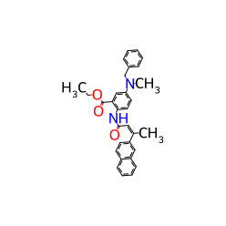 CCOC(=O)c1cc(N(C)Cc2ccccc2)ccc1NC(=O)/C=C(/C)c1ccc2ccccc2c1